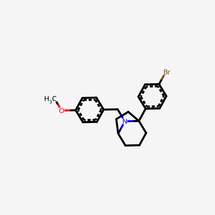 COc1ccc(CN2C3CCCC2(c2ccc(Br)cc2)CC3)cc1